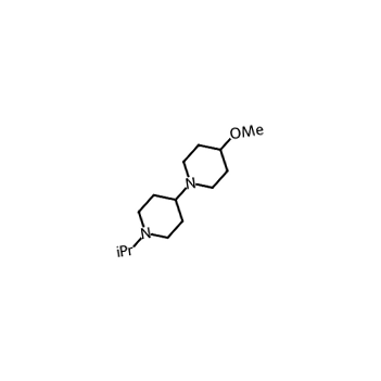 COC1CCN(C2CCN(C(C)C)CC2)CC1